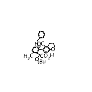 Cc1ccc(OCc2ccccc2)c(-c2ccc3c(c2C)CCCO3)c1[C@H](OC(C)(C)C)C(=O)O